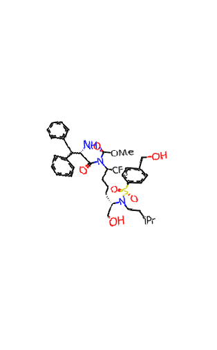 COC(=O)N(C(=O)[C@@H](N)C(c1ccccc1)c1ccccc1)[C@H](CCC[C@@H](CO)N(CCC(C)C)S(=O)(=O)c1ccc(CO)cc1)C(F)(F)F